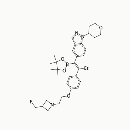 CC/C(=C(/B1OC(C)(C)C(C)(C)O1)c1ccc2c(cnn2C2CCOCC2)c1)c1ccc(OCCN2CC(CF)C2)cc1